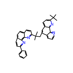 CC(C)(C)c1ccc2cc(CC(C)(C)c3ccc4ccc5ccc(-c6ccccc6)nc5c4n3)c3cccnc3c2n1